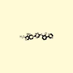 C[C@@H]1OCC2(CCN(c3ncc(Sc4cccc(-c5cnccn5)c4Cl)nn3)CC2)[C@@H]1N